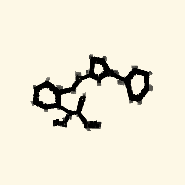 COC(=O)N(OC)c1ccccc1COc1ccn(-c2ccccc2)n1